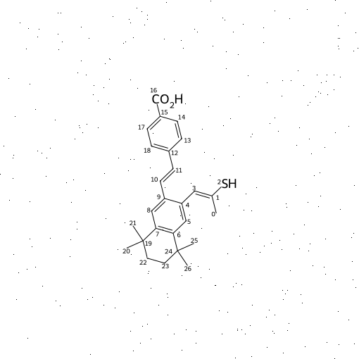 C/C(S)=C\c1cc2c(cc1C=Cc1ccc(C(=O)O)cc1)C(C)(C)CCC2(C)C